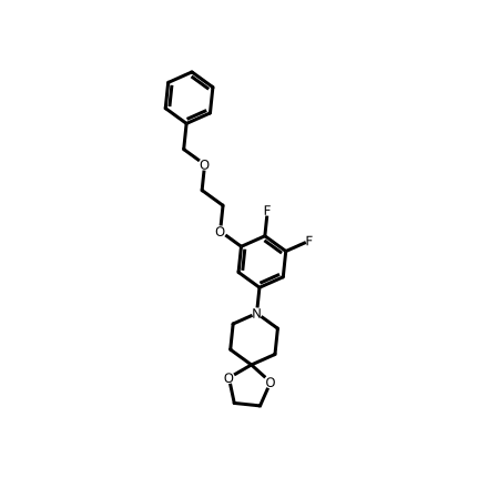 Fc1cc(N2CCC3(CC2)OCCO3)cc(OCCOCc2ccccc2)c1F